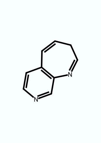 C1=Cc2ccncc2N=CC1